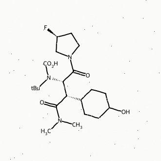 CN(C)C(=O)[C@@H](C1CCC(O)CC1)[C@@H](C(=O)N1CC[C@H](F)C1)N(C(=O)O)C(C)(C)C